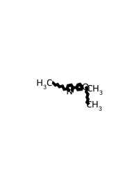 CCCCCCCc1ccc(-c2ccc(O[C@H](C)CCCCCC)cc2)cn1